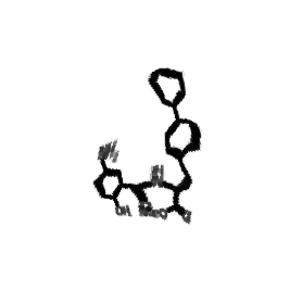 COC(=O)C(Cc1ccc(-c2ccccc2)cc1)NC(=O)c1cc(N)ccc1O